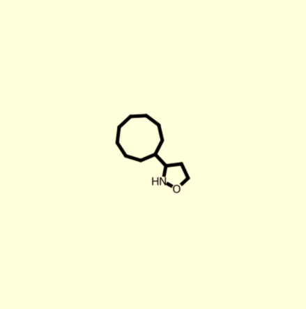 C1CCCCC(C2CCON2)CCC1